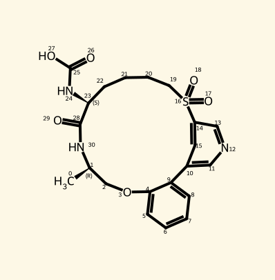 C[C@@H]1COc2ccccc2-c2cncc(c2)S(=O)(=O)CCCC[C@H](NC(=O)O)C(=O)N1